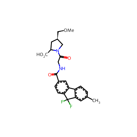 COC[C@@H]1CC(C(=O)O)N(C(=O)CNC(=O)c2ccc3c(c2)-c2ccc(C)cc2C3(F)F)C1